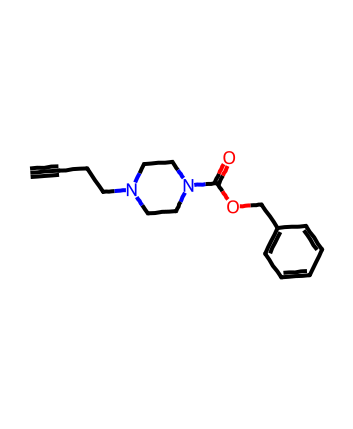 C#CCCN1CCN(C(=O)OCc2ccccc2)CC1